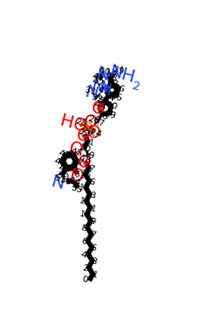 CCCCCCCCCCCCCCCCCCOC[C@H](COP(=O)(O)OC[C@@H]1CC[C@](C#N)(c2ccc3c(N)ncnn23)O1)Oc1ccc(C#N)c(OC(C)C)c1